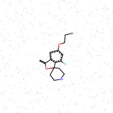 C=C1OC2(CCNCC2)c2c(F)cc(OCCC(C)C)cc21